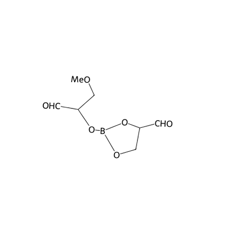 COCC(C=O)OB1OCC(C=O)O1